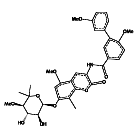 COc1cccc(-c2cc(C(=O)Nc3cc4c(OC)cc(O[C@@H]5OC(C)(C)[C@H](OC)[C@@H](O)[C@@H]5O)c(C)c4oc3=O)ccc2OC)c1